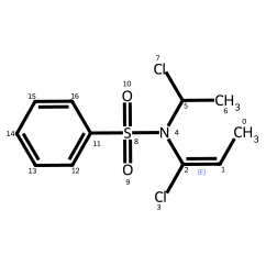 C/C=C(/Cl)N(C(C)Cl)S(=O)(=O)c1ccccc1